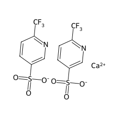 O=S(=O)([O-])c1ccc(C(F)(F)F)nc1.O=S(=O)([O-])c1ccc(C(F)(F)F)nc1.[Ca+2]